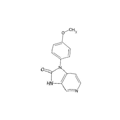 COc1ccc(-n2c(=O)[nH]c3cnccc32)cc1